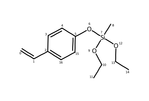 C=Cc1ccc(O[Si](C)(OCC)OCC)cc1